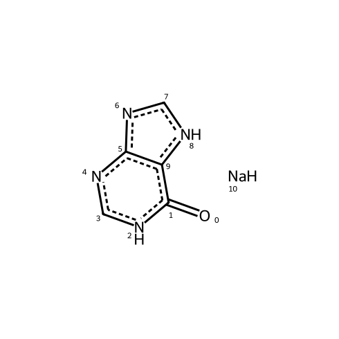 O=c1[nH]cnc2nc[nH]c12.[NaH]